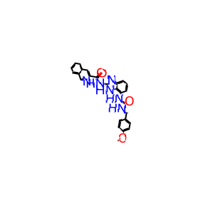 COc1ccc(CNC(=O)Nc2cccc3nc(NC(=O)c4cc5ccccc5cn4)[nH]c23)cc1